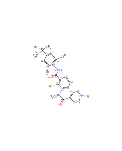 CN(C(=O)c1cc[n+]([O-])cc1)c1cccc(C(=O)Nc2c(Br)cc(C(F)(C(F)(F)F)C(F)(F)F)cc2Br)c1F